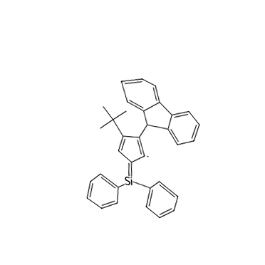 CC(C)(C)C1=CC(=[Si](c2ccccc2)c2ccccc2)[C]=C1C1c2ccccc2-c2ccccc21